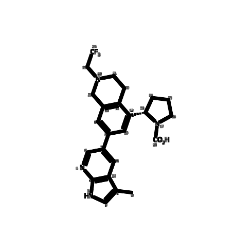 Cc1c[nH]c2ncc(-c3cc4c(c([C@@H]5CCCN5C(=O)O)c3)CCN(CC(F)(F)F)C4)cc12